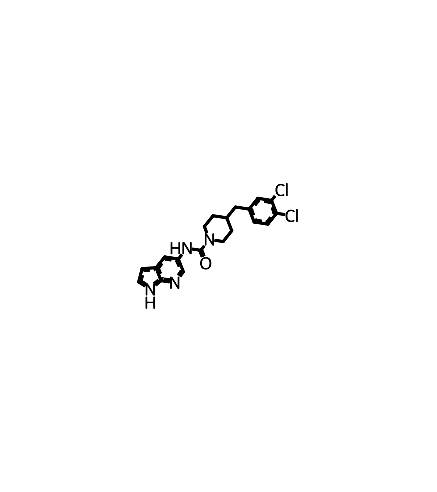 O=C(Nc1cnc2[nH]ccc2c1)N1CCC(Cc2ccc(Cl)c(Cl)c2)CC1